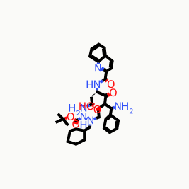 CC(C)(C)OC(=O)NN(CC1CCCCC1)C[C@H](O)C(C(=O)[C@H](CC(N)=O)NC(=O)c1ccc2ccccc2n1)C(N)c1ccccc1